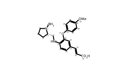 BN1CCC[C@H]1CNc1ccc(/C=C/C(=O)O)cc1Oc1ccc(OC)cc1